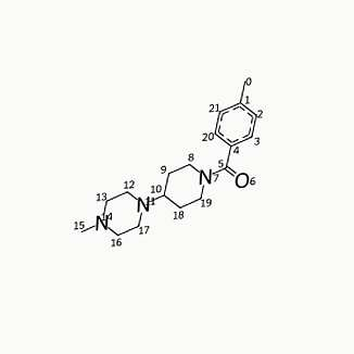 Cc1ccc(C(=O)N2CCC(N3CCN(C)CC3)CC2)cc1